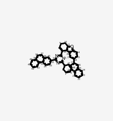 C1=CCC(c2nc(C3=CCCc4oc5ccc(-c6ccc7ccccc7c6)cc5c43)nc(-c3ccc4c(ccc5ccccc54)c3)n2)C=C1